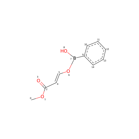 COC(=O)C=COB(O)c1ccccc1